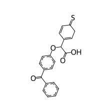 O=C(c1ccccc1)c1ccc(OC(C(=O)O)C2=CCC(=S)C=C2)cc1